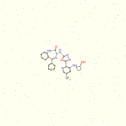 O=C1Nc2ccccc2C(c2ccccc2)=NC1Nc1nnc(-c2ncc(C(F)(F)F)cc2N[C@@H]2CC[C@@H]2O)o1